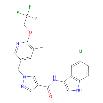 Cc1cc(Cn2cc(C(=O)Nc3c[nH]c4ccc(Cl)cc34)cn2)cnc1OCC(F)(F)F